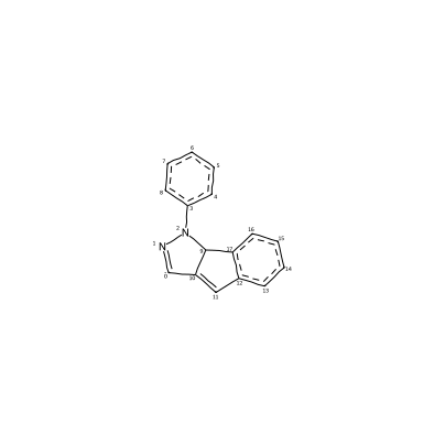 [C]1=NN(c2ccccc2)C2C1=Cc1ccccc12